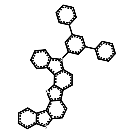 c1ccc(-c2cc(-c3ccccc3)cc(-n3c4ccccc4c4c5sc6c(ccc7sc8ccccc8c76)c5ccc43)c2)cc1